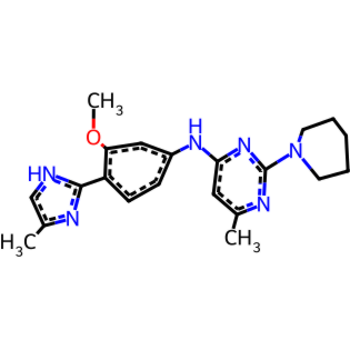 COc1cc(Nc2cc(C)nc(N3CCCCC3)n2)ccc1-c1nc(C)c[nH]1